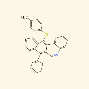 Cc1ccc(Sc2c3ccccc3c(C3=CC=CCC3)c3cnc4ccccc4c23)cc1